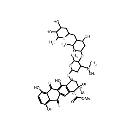 CC[C@@]1(O)C[C@H](OC2CC(N(C)C)C(OC3CC(O)C(CC4CC(O)C(O)C(C)O4)C(C)O3)C(C)O2)c2c(cc3c(c2O)C(=O)c2c(O)ccc(O)c2C3=O)[C@H]1C(=O)OC